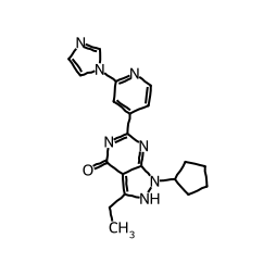 CCc1[nH]n(C2CCCC2)c2nc(-c3ccnc(-n4ccnc4)c3)nc(=O)c1-2